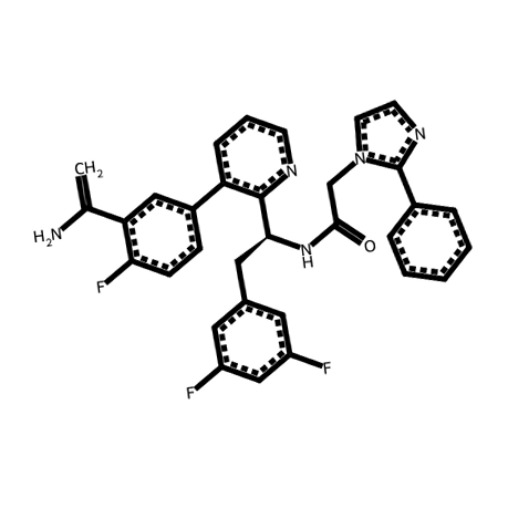 C=C(N)c1cc(-c2cccnc2[C@H](Cc2cc(F)cc(F)c2)NC(=O)Cn2ccnc2-c2ccccc2)ccc1F